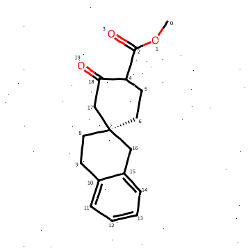 COC(=O)C1CC[C@]2(CCc3ccccc3C2)CC1=O